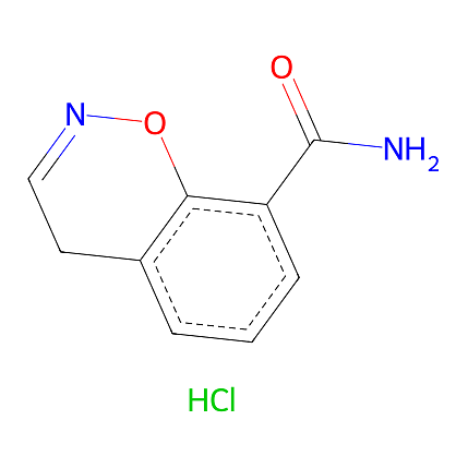 Cl.NC(=O)c1cccc2c1ON=CC2